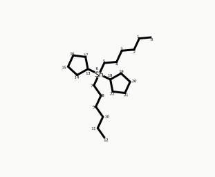 CCCCC[CH2][Sn]([CH2]CCCCC)([CH]1CCCC1)[CH]1CCCC1